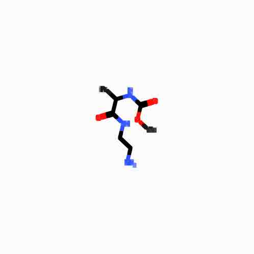 CC(C)C(NC(=O)OC(C)(C)C)C(=O)NCCN